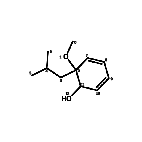 COC1(CC(C)C)C=CC=CC1O